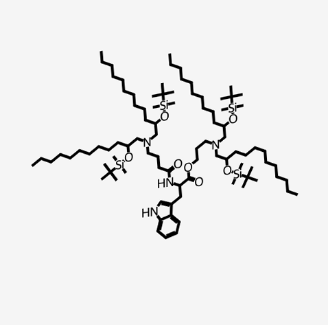 CCCCCCCCCCC(CN(CCCOC(=O)C(Cc1c[nH]c2ccccc12)NC(=O)CCCN(CC(CCCCCCCCCC)O[Si](C)(C)C(C)(C)C)CC(CCCCCCCCCC)O[Si](C)(C)C(C)(C)C)CC(CCCCCCCCCC)O[Si](C)(C)C(C)(C)C)O[Si](C)(C)C(C)(C)C